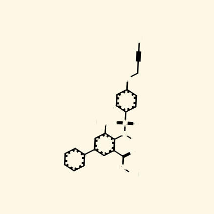 CC#CCOc1ccc(S(=O)(=O)N(C)c2c(C)cc(-c3ccccc3)cc2C(=O)NO)cc1